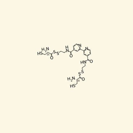 N[C@@H](CS)C(=O)SSCCNC(=O)c1ccnc(-c2cc(C(=O)NCCSSC(=O)[C@@H](N)CS)ccn2)c1